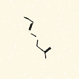 CC=NOCC(=O)O